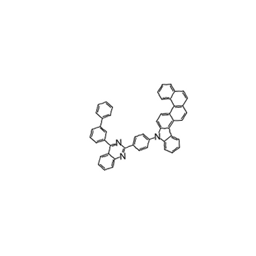 c1ccc(-c2cccc(-c3nc(-c4ccc(-n5c6ccccc6c6c7ccc8ccc9ccccc9c8c7ccc65)cc4)nc4ccccc34)c2)cc1